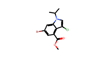 COC(=O)c1cc(Br)cc2c1c(Cl)cn2C(C)C